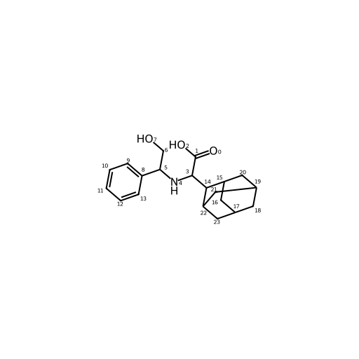 O=C(O)C(NC(CO)c1ccccc1)C1C2CC3CC(C2)CC1C3